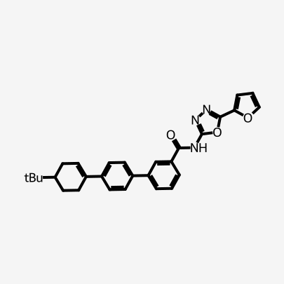 CC(C)(C)C1CC=C(c2ccc(-c3cccc(C(=O)Nc4nnc(-c5ccco5)o4)c3)cc2)CC1